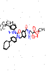 COC(=O)[C@H](O)CNC(=O)c1ccc(CN(C(=O)Nc2cccc(C(C)(C)C)c2)c2ccc(C3CCCCC3)cc2)cc1